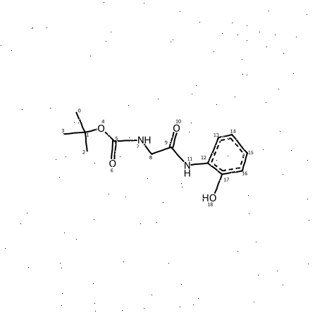 CC(C)(C)OC(=O)NCC(=O)Nc1ccccc1O